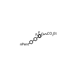 CCCCCC1CCC(C2CCC(c3ccc(OCCCC(=O)OCC)c(F)c3F)CC2)CC1